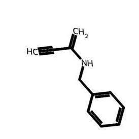 C#CC(=C)NCc1ccccc1